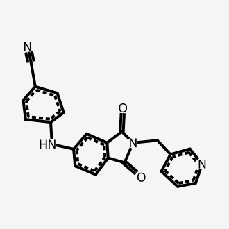 N#Cc1ccc(Nc2ccc3c(c2)C(=O)N(Cc2cccnc2)C3=O)cc1